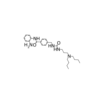 CCCCN(CCCC)CCCNC(=O)NCc1ccc(C(=O)Nc2ccccc2N)cc1